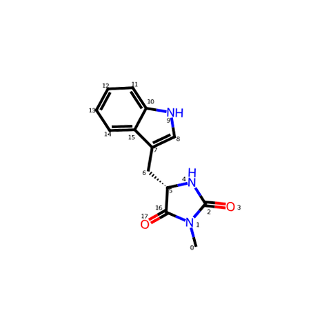 CN1C(=O)N[C@@H](Cc2c[nH]c3ccccc23)C1=O